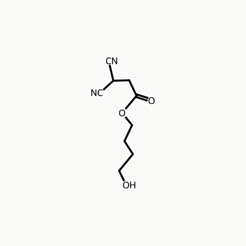 N#CC(C#N)CC(=O)OCCCCO